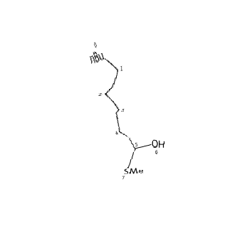 CCCCCCCCC(O)SC